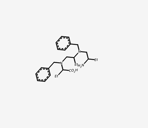 CCC(N)CN(Cc1ccccc1)C(CC)CN(Cc1ccccc1)C(CC)C(=O)O